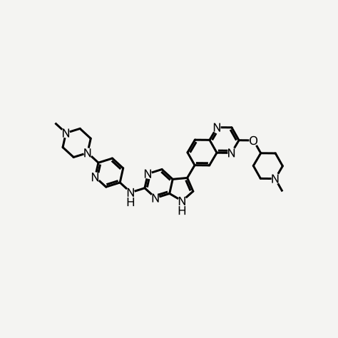 CN1CCC(Oc2cnc3ccc(-c4c[nH]c5nc(Nc6ccc(N7CCN(C)CC7)nc6)ncc45)cc3n2)CC1